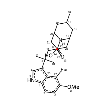 COc1ccc2[nH]cc(C(C)(C)CC(=O)N3C4CC(C)CC3CC(C)(O)C4)c2c1F